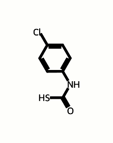 O=C(S)Nc1ccc(Cl)cc1